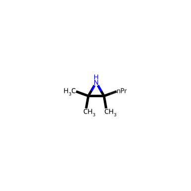 CCCC1(C)NC1(C)C